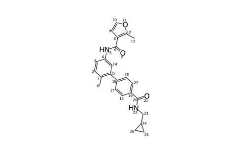 Cc1ccc(NC(=O)c2ccoc2C)cc1-c1ccc(C(=O)NCC2CC2)cc1